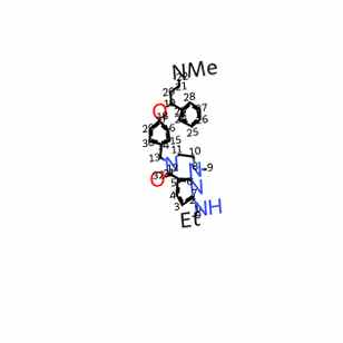 CCNc1ccc2c(n1)N(C)CCN(Cc1ccc(OC(CCNC)c3ccccc3)cc1)C2=O